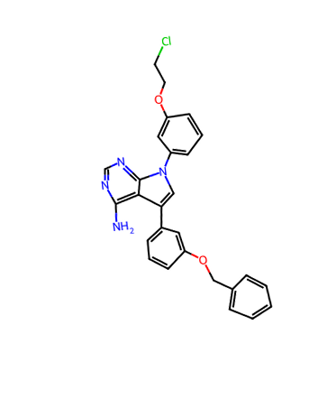 Nc1ncnc2c1c(-c1cccc(OCc3ccccc3)c1)cn2-c1cccc(OCCCl)c1